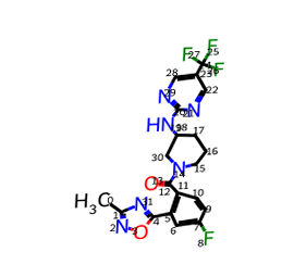 Cc1noc(-c2cc(F)ccc2C(=O)N2CCCC(Nc3ncc(C(F)(F)F)cn3)C2)n1